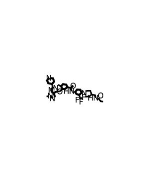 CCC(=O)NCC1CCN(c2ccc(NC(=O)c3ccc(C)c(Oc4nc(-c5ccncc5)nc5c4cnn5C)c3)cc2C(F)(F)F)CC1